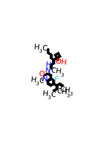 C/C=C\C(=C(/C)CC)c1ccc2c(cc(N/C(C)=C/C=C(\C=C\CCC)C3(O)CCC3)c(=O)n2C)c1F